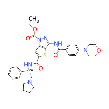 CCOC(=O)n1nc(NC(=O)c2ccc(N3CCOCC3)cc2)c2sc(C(=O)N[C@H](CN3CCCC3)c3ccccc3)cc21